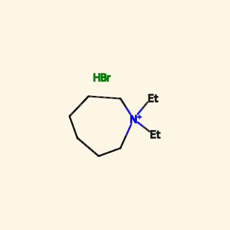 Br.CC[N+]1(CC)CCCCCC1